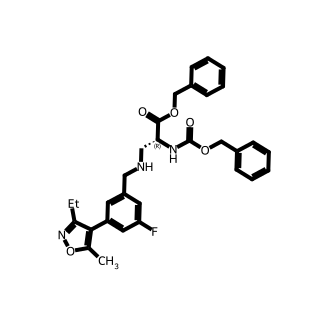 CCc1noc(C)c1-c1cc(F)cc(CNC[C@@H](NC(=O)OCc2ccccc2)C(=O)OCc2ccccc2)c1